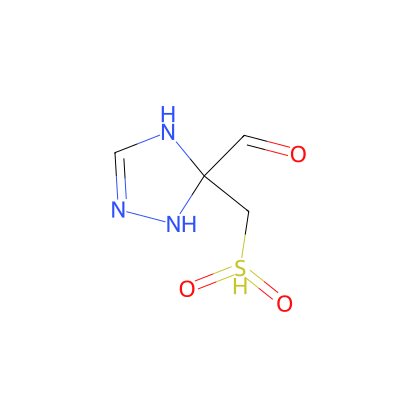 O=CC1(C[SH](=O)=O)NC=NN1